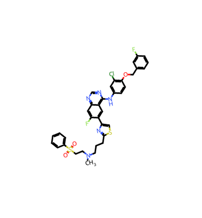 CN(CCCc1nc(-c2cc3c(Nc4ccc(OCc5cccc(F)c5)c(Cl)c4)ncnc3cc2F)cs1)CCS(=O)(=O)c1ccccc1